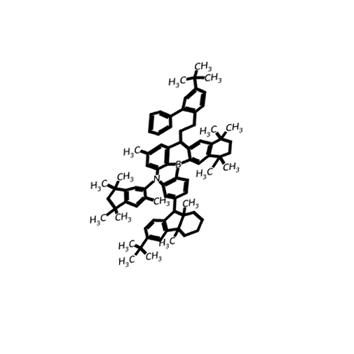 Cc1cc2c3c(c1)N(c1cc4c(cc1C)C(C)(C)CC4(C)C)c1cc(C4c5ccc(C(C)(C)C)cc5C5(C)CCCCC45C)ccc1B3c1cc3c(cc1C2CCc1ccc(C(C)(C)C)cc1-c1ccccc1)C(C)(C)CCC3(C)C